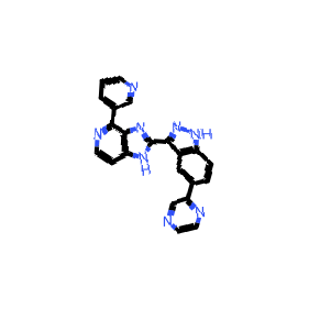 c1cncc(-c2nccc3[nH]c(-c4n[nH]c5ccc(-c6cnccn6)cc45)nc23)c1